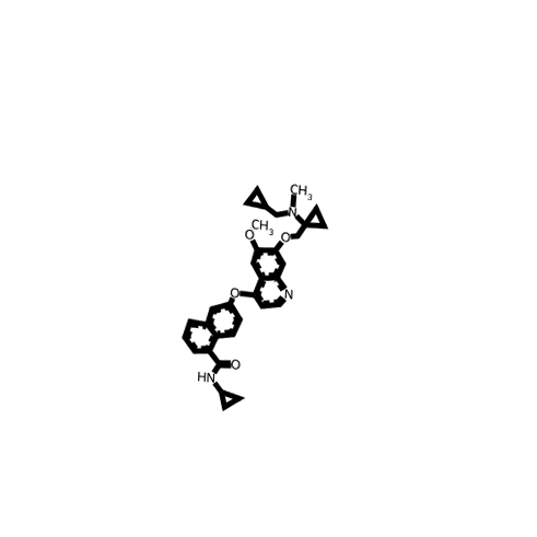 COc1cc2c(Oc3ccc4c(C(=O)NC5CC5)cccc4c3)ccnc2cc1OCC1(N(C)CC2CC2)CC1